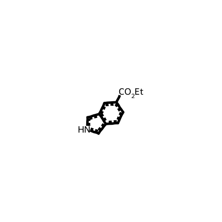 CCOC(=O)c1ccc2c[nH]cc2c1